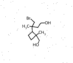 CC1(CO)CCC1C(C)(CBr)CCO